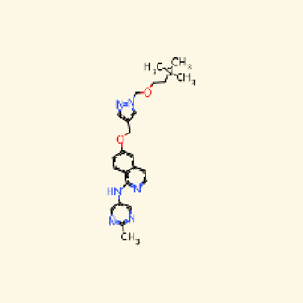 Cc1ncc(Nc2nccc3cc(OCc4cnn(COCC[Si](C)(C)C)c4)ccc23)cn1